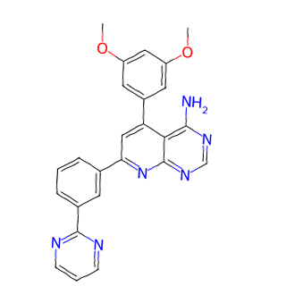 COc1cc(OC)cc(-c2cc(-c3cccc(-c4ncccn4)c3)nc3ncnc(N)c23)c1